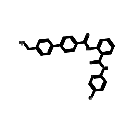 NCc1ccc(-c2ccc(C(=O)Nc3ccccc3C(=O)Nc3ccc(Cl)cn3)cc2)cc1